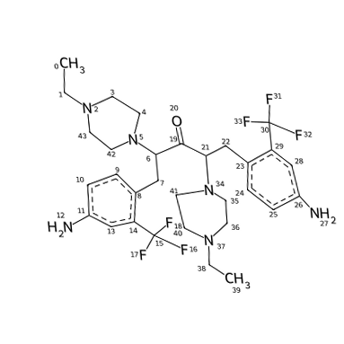 CCN1CCN(C(Cc2ccc(N)cc2C(F)(F)F)C(=O)C(Cc2ccc(N)cc2C(F)(F)F)N2CCN(CC)CC2)CC1